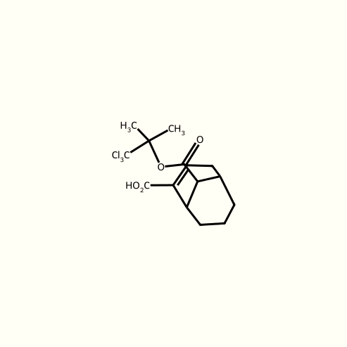 CC(C)(OC(=O)C1C2CC=C(C(=O)O)C1CCC2)C(Cl)(Cl)Cl